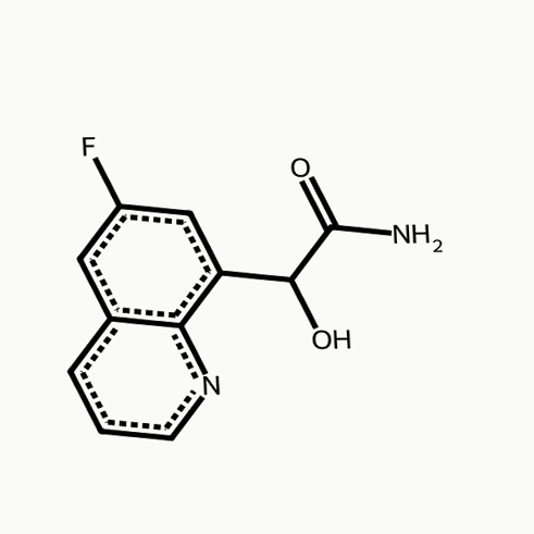 NC(=O)C(O)c1cc(F)cc2cccnc12